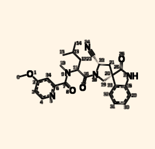 COc1ccnc(C(=O)N(C)C(CC(C)C)C(=O)N2C[C@]3(C[C@H]2C#N)C(=O)Nc2ccccc23)c1